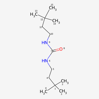 CC(C)(C)CCNC(=O)NCCC(C)(C)C